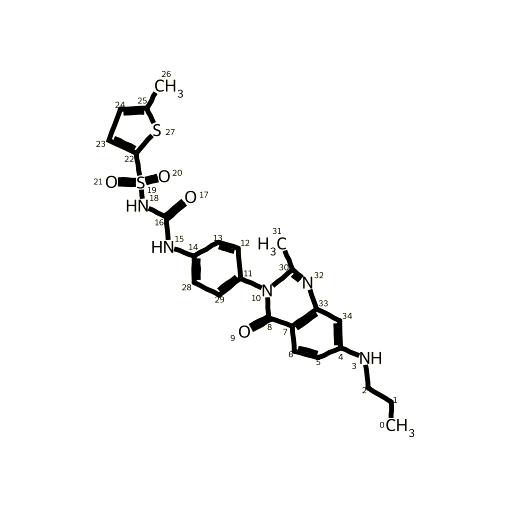 CCCNc1ccc2c(=O)n(-c3ccc(NC(=O)NS(=O)(=O)c4ccc(C)s4)cc3)c(C)nc2c1